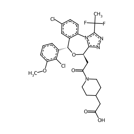 COc1cccc([C@H]2O[C@H](CC(=O)N3CCC(CC(=O)O)CC3)c3nnc(C(C)(F)F)n3-c3ccc(Cl)cc32)c1Cl